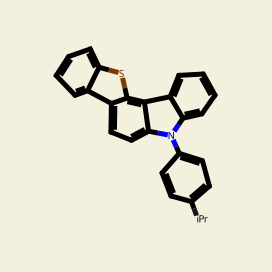 CC(C)c1ccc(-n2c3ccccc3c3c4sc5ccccc5c4ccc32)cc1